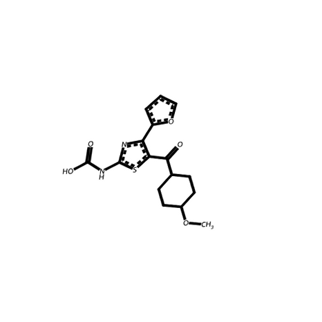 COC1CCC(C(=O)c2sc(NC(=O)O)nc2-c2ccco2)CC1